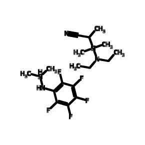 CCN(CC)[Si](C)(C)C(C)C#N.C[SiH](C)Nc1c(F)c(F)c(F)c(F)c1F